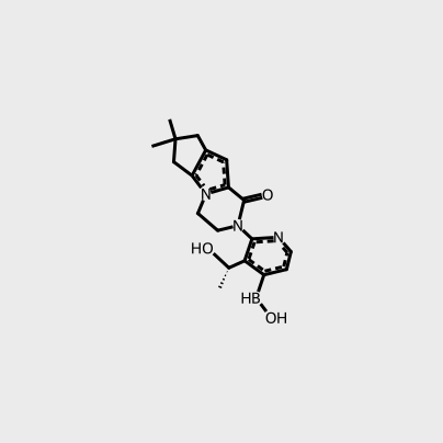 C[C@H](O)c1c(BO)ccnc1N1CCn2c(cc3c2CC(C)(C)C3)C1=O